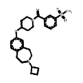 CS(=O)(=O)c1cccc(C(=O)N2CCC(Oc3ccc4c(c3)CCN(C3CCC3)CC4)CC2)c1